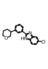 Clc1ccc2[nH]c(-c3cccc(C4CCCOC4)c3)nc2c1